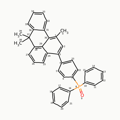 Cc1cc(-c2ccc(P(=O)(c3ccccc3)c3ccccc3)cc2)c2cccc3c2c1-c1ccccc1C3(C)C